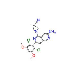 COc1cc(OC)c(Cl)c(-c2cc3cnc(N)cc3c(N3CC(C)(C#N)C3)n2)c1Cl